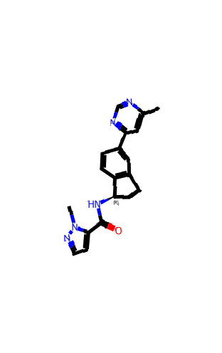 Cc1cc(-c2ccc3c(c2)CC[C@H]3NC(=O)c2ccnn2C)ncn1